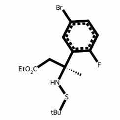 CCOC(=O)C[C@](C)(NSC(C)(C)C)c1cc(Br)ccc1F